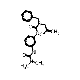 C=C(Cl)CN(Cc1ccccc1)C(=O)Oc1cccc(NC(=O)N(C)C)c1